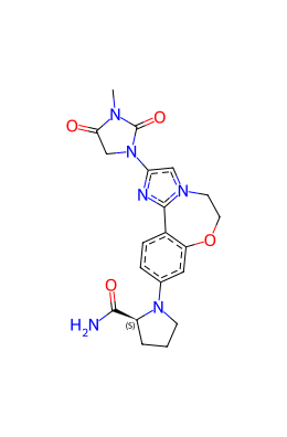 CN1C(=O)CN(c2cn3c(n2)-c2ccc(N4CCC[C@H]4C(N)=O)cc2OCC3)C1=O